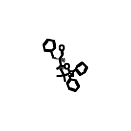 C[C@H](O[Si](c1ccccc1)(c1ccccc1)C(C)(C)C)[C@@H](C=O)Cc1ccccc1